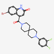 O=C(c1cc(=O)[nH]c2ccc(Br)cc12)N1CCC2(CC1)CCN(c1ccc(F)c(F)c1)CC2